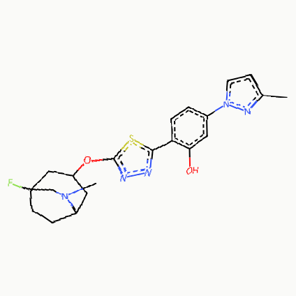 Cc1ccn(-c2ccc(-c3nnc(OC4CC5CCC(F)(C4)CN5C)s3)c(O)c2)n1